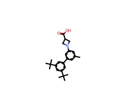 Cc1cc(-c2cc(C(C)(C)C)cc(C(C)(C)C)c2)cc(N2CC(C(=O)O)C2)c1